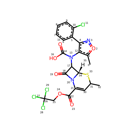 Cc1onc(-c2ccccc2Cl)c1N(C(=O)O)C1C(=O)N2C(C(=O)OCC(Cl)(Cl)Cl)=CC(C)S[C@@H]12